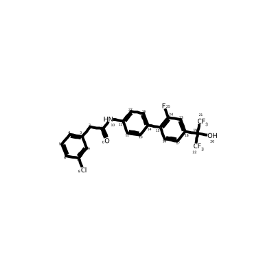 O=C(Cc1cccc(Cl)c1)Nc1ccc(-c2ccc(C(O)(C(F)(F)F)C(F)(F)F)cc2F)cc1